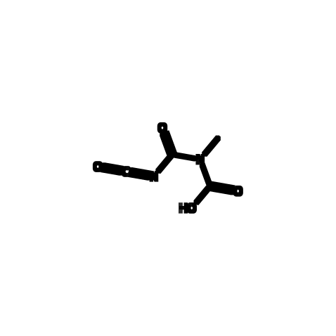 CN(C(=O)O)C(=O)N=C=O